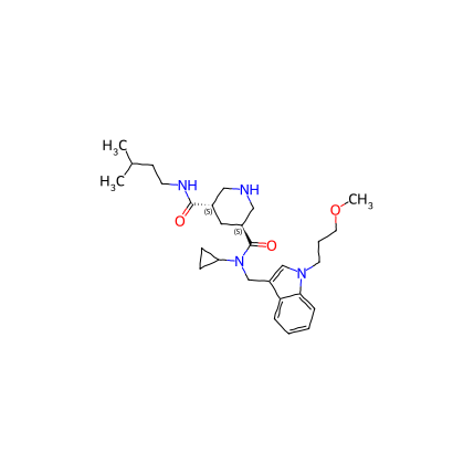 COCCCn1cc(CN(C(=O)[C@@H]2CNC[C@@H](C(=O)NCCC(C)C)C2)C2CC2)c2ccccc21